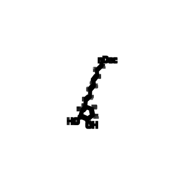 CCCCCCCCCCCCC=CC=CC=Cc1ccc(O)c(O)c1